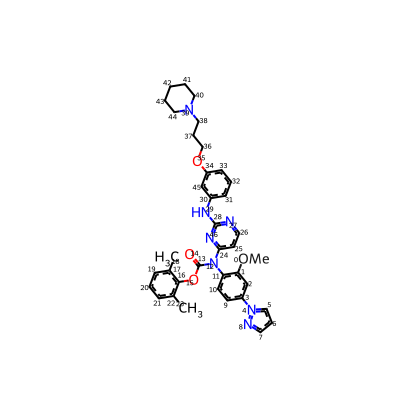 COc1cc(-n2cccn2)ccc1N(C(=O)Oc1c(C)cccc1C)c1ccnc(Nc2cccc(OCCCN3CCCCC3)c2)n1